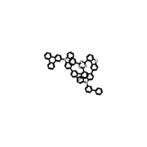 c1ccc(-c2cccc(-n3c4ccccc4c4cc(-c5ccc6oc7cccc(-c8nc(-c9ccccc9)nc(-c9cccc%10oc%11ccc(-c%12ccc%13c(c%12)c%12ccccc%12n%13-c%12ccc%13c%14ccccc%14c%14ccccc%14c%13c%12)cc%11c9%10)n8)c7c6c5)ccc43)c2)cc1